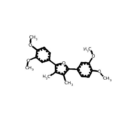 COc1ccc(-c2oc(-c3ccc(OC)c(OC)c3)c(C)c2C)cc1OC